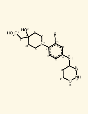 O=C(O)CC1(O)CCN(c2ccc(NC3CCONO3)cc2F)CC1